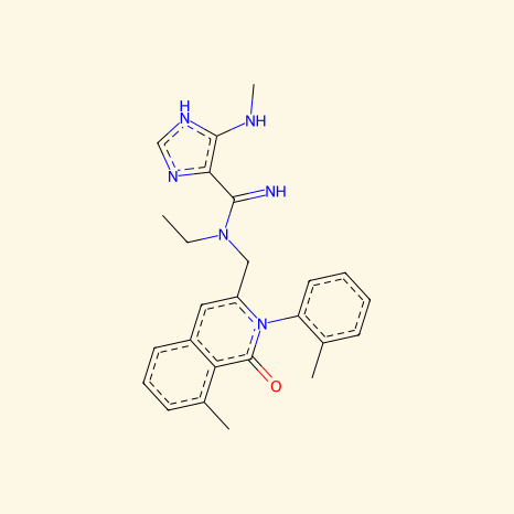 CCN(Cc1cc2cccc(C)c2c(=O)n1-c1ccccc1C)C(=N)c1nc[nH]c1NC